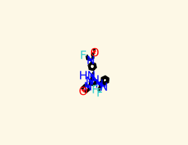 COCCN(CCF)[C@H]1CC[C@H](CNc2nc(N3CCOCC3)cc(-n3c(C(F)F)nc4ccccc43)n2)CC1